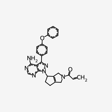 C=CC(=O)N1CC2=C(C1)C(n1nc(-c3ccc(Oc4ccccc4)cc3)c3c(N)ncnc31)CC2